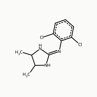 CC1NC(=Nc2c(Cl)cccc2Cl)NC1C